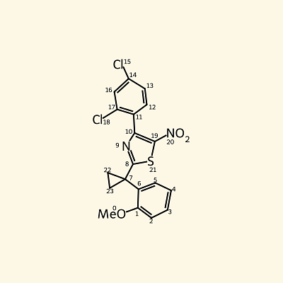 COc1ccccc1C1(c2nc(-c3ccc(Cl)cc3Cl)c([N+](=O)[O-])s2)CC1